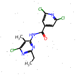 CCc1nc(Cl)c(C)c(NC(=O)c2cc(Cl)nc(Cl)c2)n1